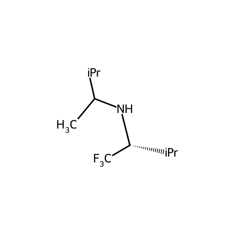 CC(C)C(C)N[C@H](C(C)C)C(F)(F)F